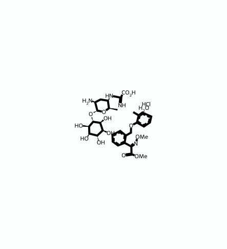 CO/N=C(/C(=O)OC)c1ccccc1COc1ccccc1C.C[C@H]1O[C@H](O[C@H]2[C@H](O)[C@@H](O)[C@@H](O)[C@H](O)[C@@H]2O)[C@@H](N)C[C@@H]1NC(=N)C(=O)O.Cl.O